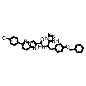 O=C(NC(Cc1ccc(OCc2ccccc2)cc1)c1nnn[nH]1)c1cn2nc(-c3ccc(Cl)cc3)ccc2n1